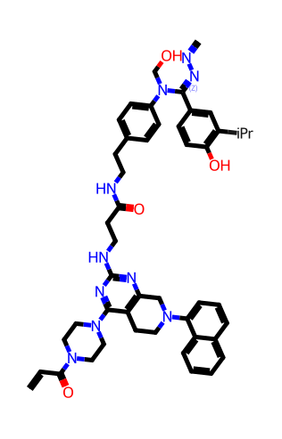 C=CC(=O)N1CCN(c2nc(NCCC(=O)NCCc3ccc(N(CO)/C(=N\N=C)c4ccc(O)c(C(C)C)c4)cc3)nc3c2CCN(c2cccc4ccccc24)C3)CC1